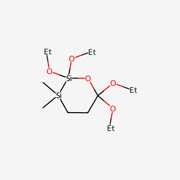 CCOC1(OCC)CC[Si](C)(C)[Si](OCC)(OCC)O1